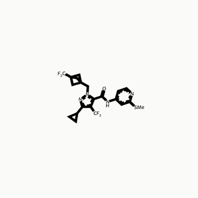 CSc1cc(NC(=O)c2c(C(F)(F)F)c(C3CC3)nn2CC23CC(C(F)(F)F)(C2)C3)ccn1